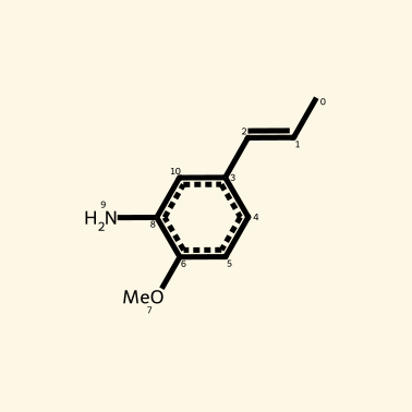 C/C=C/c1ccc(OC)c(N)c1